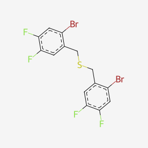 Fc1cc(Br)c(CSCc2cc(F)c(F)cc2Br)cc1F